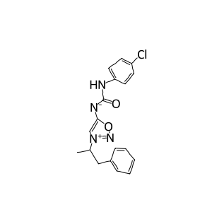 CC(Cc1ccccc1)[n+]1cc([N-]C(=O)Nc2ccc(Cl)cc2)on1